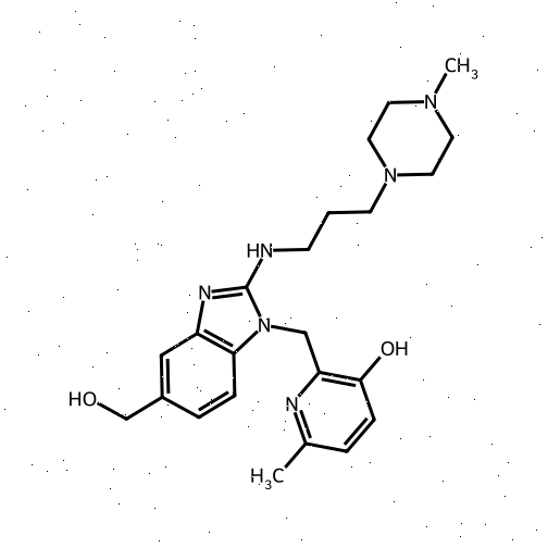 Cc1ccc(O)c(Cn2c(NCCCN3CCN(C)CC3)nc3cc(CO)ccc32)n1